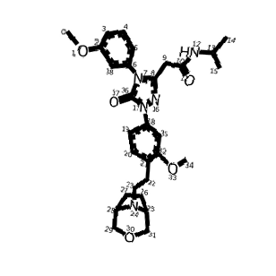 COc1cccc(-n2c(CC(=O)NC(C)C)nn(-c3ccc(CCN4C5CCC4COC5)c(OC)c3)c2=O)c1